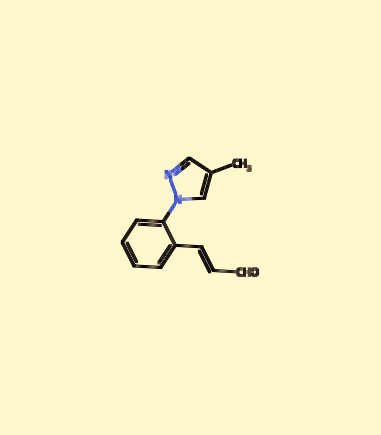 Cc1cnn(-c2ccccc2C=CC=O)c1